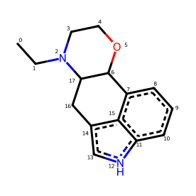 CCN1CCOC2c3cccc4[nH]cc(c34)CC21